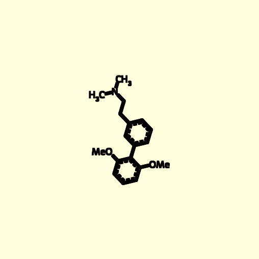 COc1cccc(OC)c1-c1cccc(CCN(C)C)c1